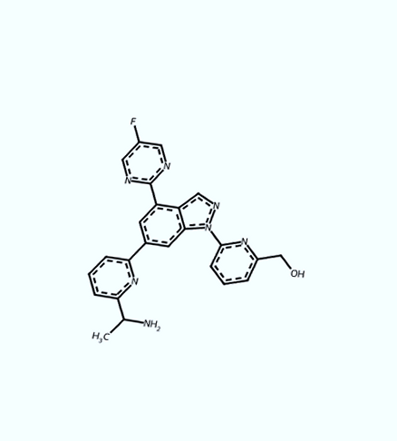 CC(N)c1cccc(-c2cc(-c3ncc(F)cn3)c3cnn(-c4cccc(CO)n4)c3c2)n1